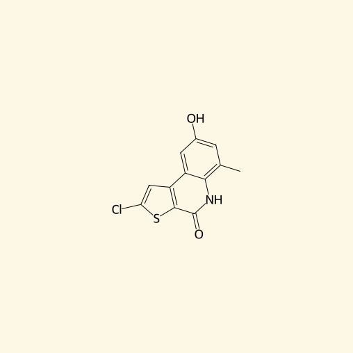 Cc1cc(O)cc2c1[nH]c(=O)c1sc(Cl)cc12